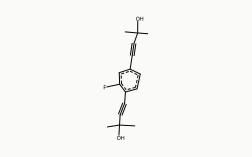 CC(C)(O)C#Cc1ccc(C#CC(C)(C)O)c(F)c1